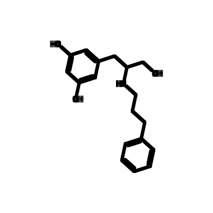 OCC(Cc1cc(O)cc(O)c1)NCCCc1ccccc1